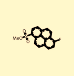 COS(=O)(=O)c1ccc2ccc3c(F)ccc4ccc1c2c43